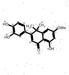 COc1cc(O)c2c(c1)C(C)(C)C(c1ccc(O)c(O)c1)=CC2=O